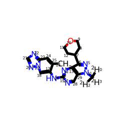 [2H]C([2H])([2H])n1nc(C2CCOCC2)c2nc(Nc3cn4ncnc4cc3C)ncc21